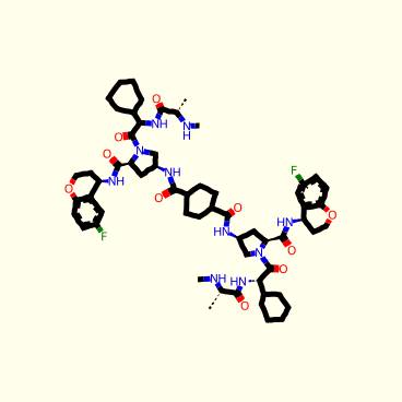 CN[C@@H](C)C(=O)NC(C(=O)N1C[C@@H](NC(=O)C2CCC(C(=O)N[C@H]3C[C@@H](C(=O)N[C@@H]4CCOc5ccc(F)cc54)N(C(=O)[C@@H](NC(=O)[C@H](C)NC)C4CCCCC4)C3)CC2)C[C@H]1C(=O)N[C@@H]1CCOc2ccc(F)cc21)C1CCCCC1